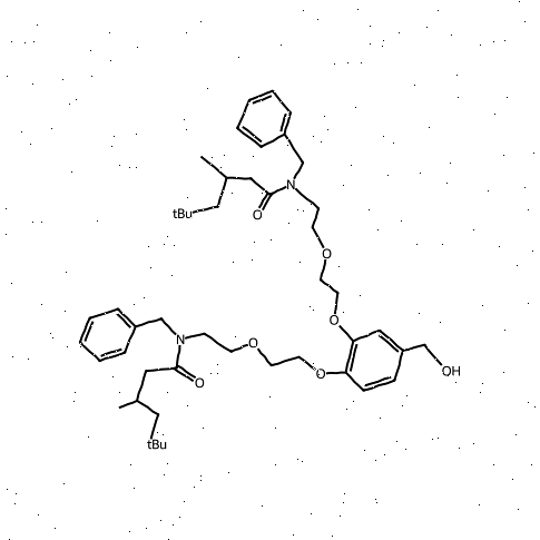 CC(CC(=O)N(CCOCCOc1ccc(CO)cc1OCCOCCN(Cc1ccccc1)C(=O)CC(C)CC(C)(C)C)Cc1ccccc1)CC(C)(C)C